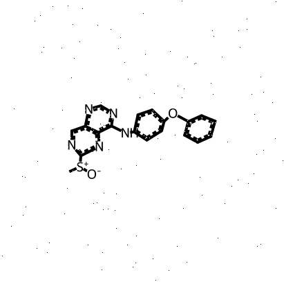 C[S+]([O-])c1ncc2ncnc(Nc3ccc(Oc4ccccc4)cc3)c2n1